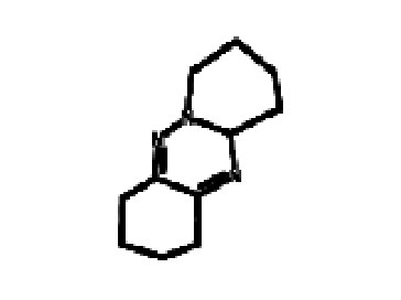 C1CCC2=NN3CCCCC3N=C2C1